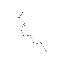 CCCCCCC(C)OC(C)C